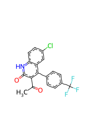 CC(=O)c1c(-c2ccc(C(F)(F)F)cc2)c2cc(Cl)ccc2[nH]c1=O